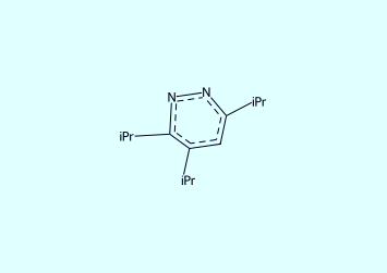 CC(C)c1cc(C(C)C)c(C(C)C)nn1